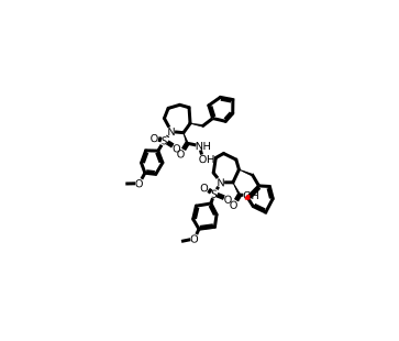 COc1ccc(S(=O)(=O)N2CCCC[C@@H](Cc3ccccc3)[C@H]2C(=O)NO)cc1.COc1ccc(S(=O)(=O)N2CCCC[C@@H](Cc3ccccc3)[C@H]2C(=O)O)cc1